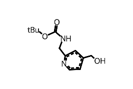 CC(C)(C)OC(=O)NCc1cc(CO)ccn1